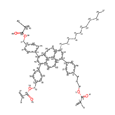 C=C(C)C(=O)OCCCc1ccc(-c2cc(CCCCCCCCCCCC)c3ccc4c(-c5ccc(COC(=O)C(=C)C)cc5)cc(-c5ccc(COC(=O)C(=C)C)cc5)c5ccc2c3c45)cc1